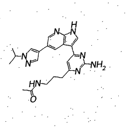 CC(=O)NCCCc1cc(-c2c[nH]c3ncc(-c4cnn(C(C)C)c4)cc23)nc(N)n1